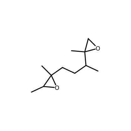 CC(CCC1(C)OC1C)C1(C)CO1